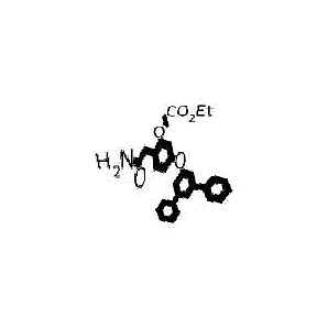 CCOC(=O)CCOc1cc(Oc2cc(-c3ccccc3)cc(-c3ccccc3)c2)ccc1CC(N)=O